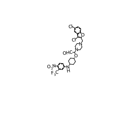 O=CC(OC1CCC(Nc2ccc([N+](=O)[O-])c(C(F)(F)F)c2)CC1)N1CCN(Cc2oc3ccc(Cl)cc3c2Cl)CC1